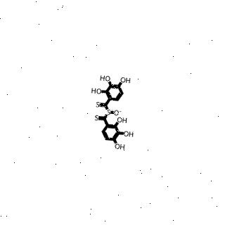 [O-][S+](C(=S)c1ccc(O)c(O)c1O)C(=S)c1ccc(O)c(O)c1O